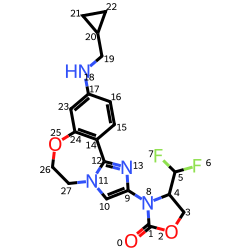 O=C1OCC(C(F)F)N1c1cn2c(n1)-c1ccc(NCC3CC3)cc1OCC2